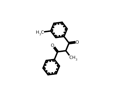 Cc1cccc(C(=O)C(C)C(=O)c2ccccc2)c1